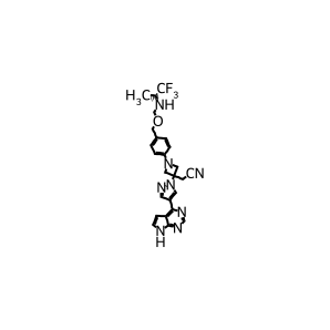 C[C@@H](NCOCc1ccc(N2CC(CC#N)(n3cc(-c4ncnc5[nH]ccc45)cn3)C2)cc1)C(F)(F)F